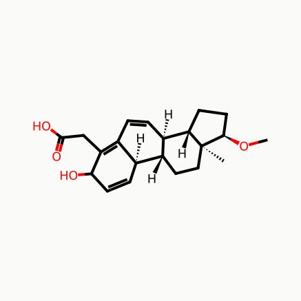 CO[C@@H]1CC[C@H]2[C@@H]3C=CC4=C(CC(=O)O)C(O)C=C[C@@H]4[C@H]3CC[C@]12C